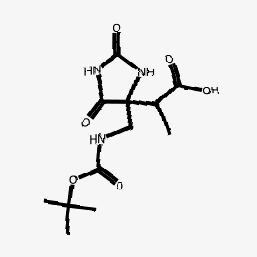 CC(C(=O)O)C1(CNC(=O)OC(C)(C)C)NC(=O)NC1=O